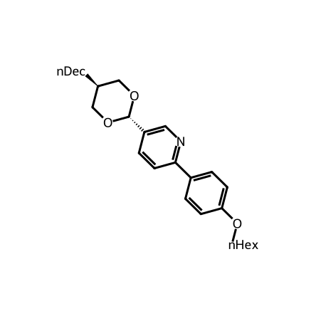 CCCCCCCCCC[C@H]1CO[C@H](c2ccc(-c3ccc(OCCCCCC)cc3)nc2)OC1